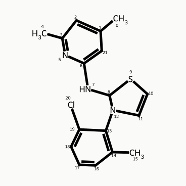 Cc1cc(C)nc(NC2SC=CN2c2c(C)cccc2Cl)c1